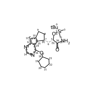 CC(C)(C)[Si](C)(C)O[C@@H](C[C@H]1CCc2sc3ncnc(OC4CCCCC4)c3c21)C(N)=O